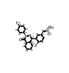 CC(C)(C)/[N+]([O-])=C/c1ccc(F)c(-c2nn(-c3ccc(F)cc3)c(=O)c3ccccc23)c1